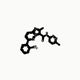 Cc1ccc(NC(=O)c2c(C)nc3ccc(-c4ccccc4C(F)(F)F)nn23)nn1